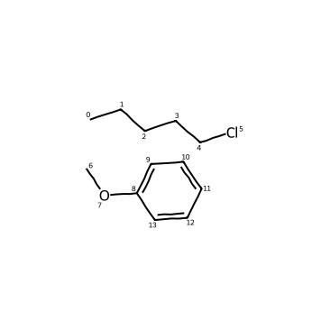 CCCCCCl.COc1ccccc1